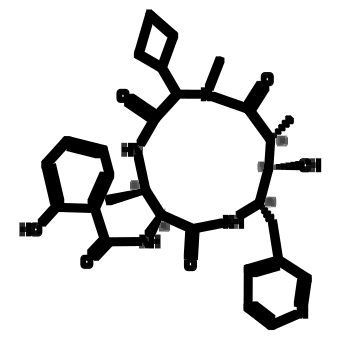 C[C@H]1NC(=O)C(C2CCC2)N(C)C(=O)[C@H](C)[C@H](O)[C@H](Cc2cccnc2)NC(=O)[C@H]1NC(=O)c1ccccc1O